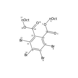 CCCCCCCCOC(=O)c1c(Br)c(Br)c(Br)c(Br)c1C(=O)OCCCCCCCC